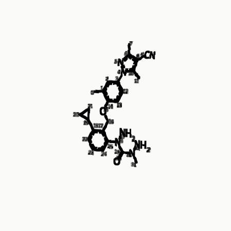 Cc1cc(-n2nc(C)c(C#N)c2C)ccc1OCc1c(C2CC2)cccc1N(N)C(=O)N(C)N